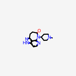 CN1CCC(N2C(=O)CCc3n[nH]c4ccnc2c34)CC1